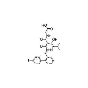 CC(C)c1nn(Cc2ccccc2-c2ccc(F)cc2)c(=O)c(C(=O)NCC(=O)O)c1O